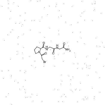 NC(=O)CNC(=O)CNC(=O)[C@@H]1CCCN1C(=O)CBr